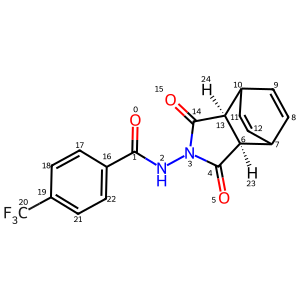 O=C(NN1C(=O)[C@@H]2C3C=CC(C=C3)[C@@H]2C1=O)c1ccc(C(F)(F)F)cc1